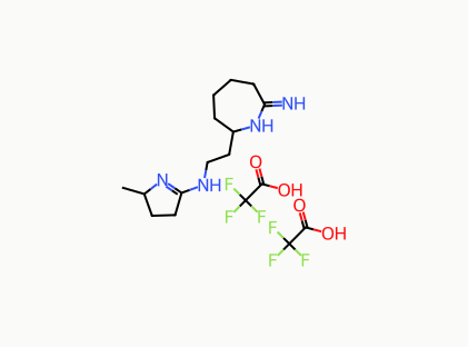 CC1CCC(NCCC2CCCCC(=N)N2)=N1.O=C(O)C(F)(F)F.O=C(O)C(F)(F)F